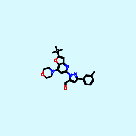 Cc1cccc(-c2cc(C=O)n(-c3cc(N4CCOCC4)c4oc([Si](C)(C)C)cc4n3)n2)c1